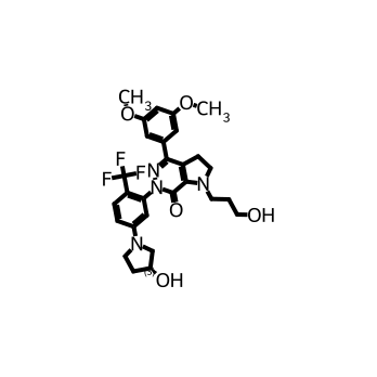 COc1cc(OC)cc(-c2nn(-c3cc(N4CC[C@H](O)C4)ccc3C(F)(F)F)c(=O)c3c2CCN3CCCO)c1